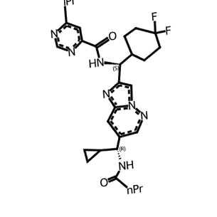 CCCC(=O)N[C@@H](c1cnn2cc([C@@H](NC(=O)c3cc(C(C)C)ncn3)C3CCC(F)(F)CC3)nc2c1)C1CC1